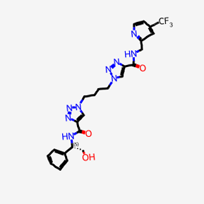 O=C(NCc1cc(C(F)(F)F)ccn1)c1cn(CCCCn2cc(C(=O)N[C@H](CO)c3ccccc3)nn2)nn1